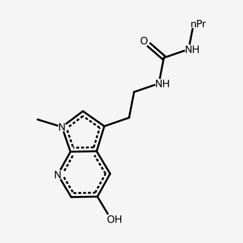 CCCNC(=O)NCCc1cn(C)c2ncc(O)cc12